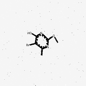 COc1nc(C)c(Br)c(O)n1